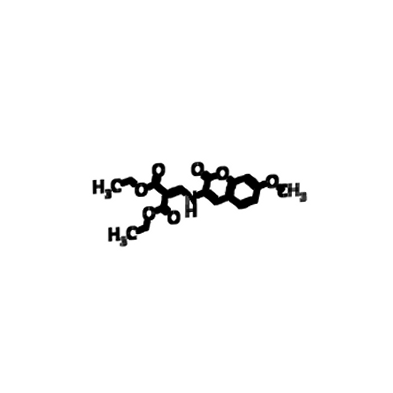 CCOC(=O)C(=CNc1cc2ccc(OC)cc2oc1=O)C(=O)OCC